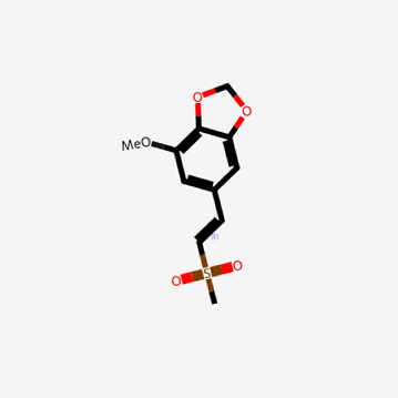 COc1cc(/C=C/S(C)(=O)=O)cc2c1OCO2